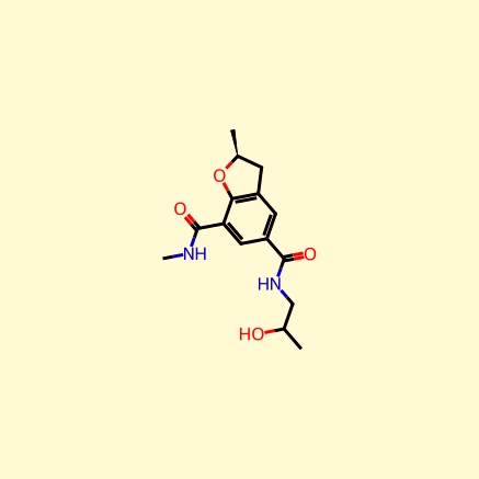 CNC(=O)c1cc(C(=O)NCC(C)O)cc2c1O[C@@H](C)C2